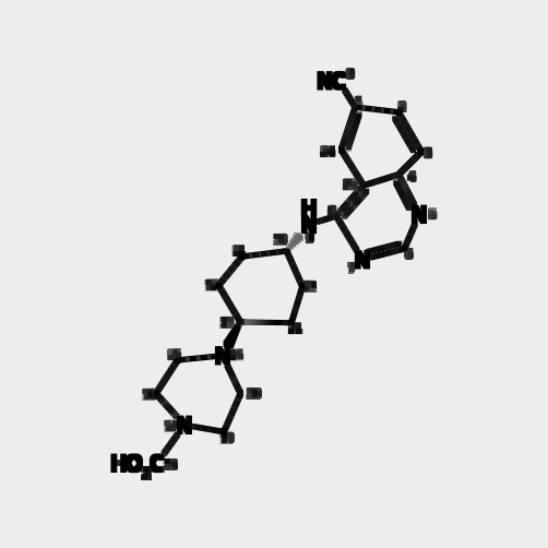 N#Cc1ccc2ncnc(N[C@H]3CC[C@H](N4CCN(C(=O)O)CC4)CC3)c2c1